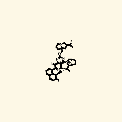 C#Cc1c(F)ccc2cccc(-c3nc4c5c(nc(OCC67CCCN6CC(=C(F)F)C7)nc5c3F)N3CC5CCC(C3C(C)O4)N5C(=O)O)c12